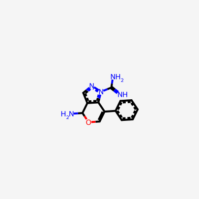 N=C(N)n1ncc2c1C(c1ccccc1)=COC2N